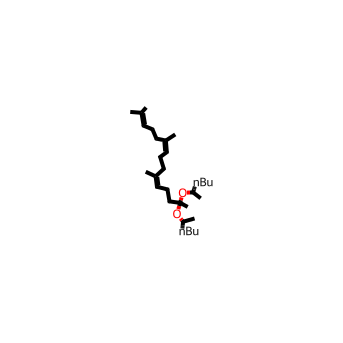 CCCCC(C)OC(C)(CCC=C(C)CCC=C(C)CCC=C(C)C)OC(C)CCCC